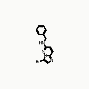 Brc1cnc2ccc(NCc3ccccc3)nn12